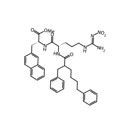 COC(=O)[C@@H](Cc1ccc2ccccc2c1)NC(=O)[C@H](CCCNC(N)=N[N+](=O)[O-])NC(=O)C(CCCCc1ccccc1)Cc1ccccc1